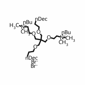 CCCCCCCCCCCCOCC(COCCCCCCCCCCCC)(COCC[N+](C)(C)CCCC)COCC[N+](C)(C)CCCC.[Br-].[Br-]